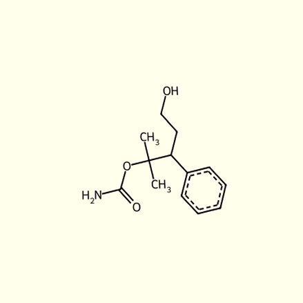 CC(C)(OC(N)=O)C(CCO)c1ccccc1